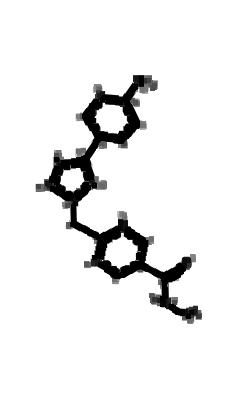 NNC(=O)c1cnc(Cn2nnc(-c3ccc(N)nc3)n2)nc1